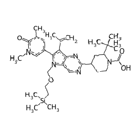 C=C(C)c1c(-c2cc(C)c(=O)n(C)c2)n(COCC[Si](C)(C)C)c2cnc(C3CCN(C(=O)O)C(C(C)(C)C)C3)nc12